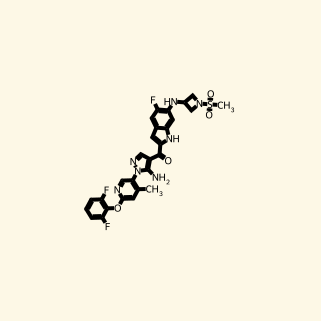 Cc1cc(Oc2c(F)cccc2F)ncc1-n1ncc(C(=O)c2cc3cc(F)c(NC4CN(S(C)(=O)=O)C4)cc3[nH]2)c1N